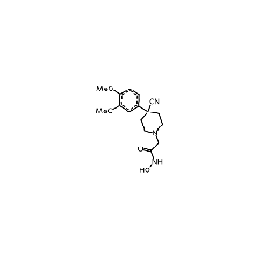 COc1ccc(C2(C#N)CCN(CC(=O)NO)CC2)cc1OC